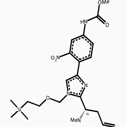 C=CC[C@H](NC)c1nc(-c2ccc(NC(=O)OC)cc2[N+](=O)[O-])cn1COCC[Si](C)(C)C